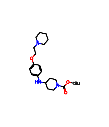 CC(C)(C)OC(=O)N1CCC(Nc2ccc(OCCN3CCCCC3)cc2)CC1